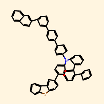 c1ccc(-c2ccccc2-c2ccccc2N(c2ccc(-c3ccc(-c4cccc(-c5ccc6ccccc6c5)c4)cc3)cc2)c2ccc(-c3ccc4sc5ccccc5c4c3)cc2)cc1